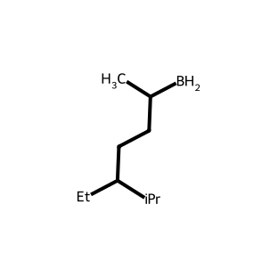 BC(C)CCC(CC)C(C)C